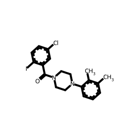 Cc1cccc(N2CCN(C(=O)c3cc(Cl)ccc3I)CC2)c1C